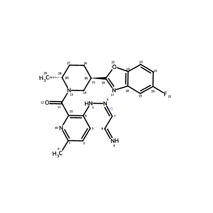 Cc1ccc(N/N=C\C=N)c(C(=O)N2C[C@H](c3nc4cc(F)ccc4o3)CC[C@H]2C)n1